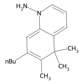 CCCCC1=C(C)C(C)(C)C2=CC=CN(N)C2=C1